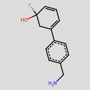 NCc1ccc(C2=CC=CC(O)(F)C2)cc1